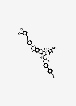 COC(=O)C(Cc1ccc(-c2ccc(C#N)cc2)cc1)NC(=O)[C@@H]1Cc2cc3c(cc2CN1S(=O)(=O)c1sc(N)nc1C)O[C@@H](c1ccc(OCc2ccc(Cl)c(Cl)c2)cc1)CO3